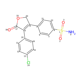 NS(=O)(=O)c1ccc(C2=C(c3ccc(Cl)cc3)C(=O)OC2)cc1